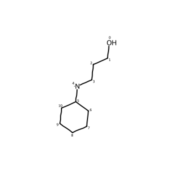 OCCC[N]C1CCCCC1